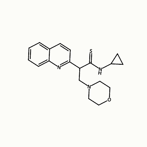 S=C(NC1CC1)C(CN1CCOCC1)c1ccc2ccccc2n1